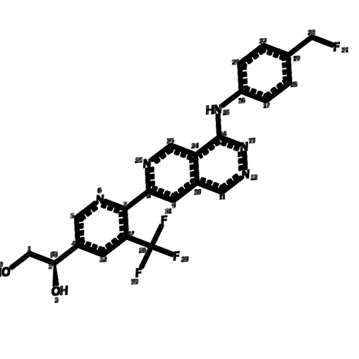 OC[C@H](O)c1cnc(-c2cc3cnnc(Nc4ccc(CF)cc4)c3cn2)c(C(F)(F)F)c1